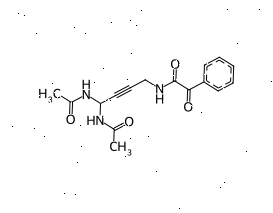 CC(=O)NC(C#CCNC(=O)C(=O)c1ccccc1)NC(C)=O